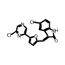 O=C1Nc2ccc(Cl)cc2/C1=C\c1ccc(-c2cncc(Cl)n2)o1